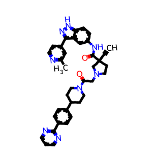 C#CC1(C(=O)Nc2ccc3[nH]nc(-c4ccnc(C)c4)c3c2)CCN(CC(=O)N2CCC(c3ccc(-c4ncccn4)cc3)CC2)C1